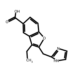 CCc1c(Cc2ncc[nH]2)oc2ccc(C(=O)O)cc12